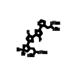 CCCCCCC(CCCC)CC1=C(c2cc(F)c(-c3sc(-c4sccc4CC(CCCC)CCCCCC)cc3F)s2)SC(Br)(Br)C1